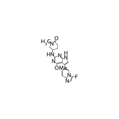 COc1nc(N[C@@H]2CCC(=O)N(C)C2)nc2[nH]cc(-c3ccc4ncc(F)n4c3)c12